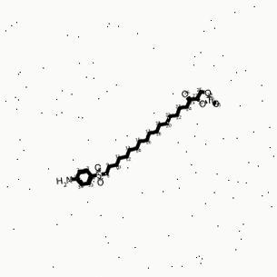 Nc1ccc(S(=O)(=O)CCCCCCCCCCCCCCCCCC(=O)C2C[O][Ti](=[O])[O]2)cc1